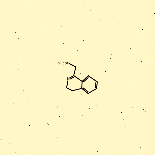 CCCCCCCCC1=NCCc2ccccc21